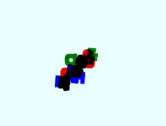 Cc1cncc(C(=O)Nc2ccc(-c3cc4c(cc3Cl)OC(F)(F)O4)cn2)c1